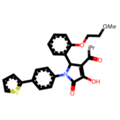 COCCOc1ccccc1C1C(C(=O)C(C)C)=C(O)C(=O)N1c1ccc(-c2cccs2)cc1